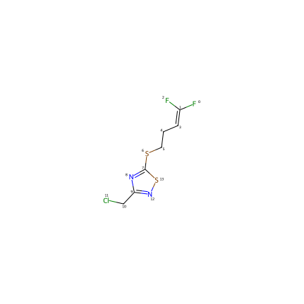 FC(F)=CCCSc1nc(CCl)ns1